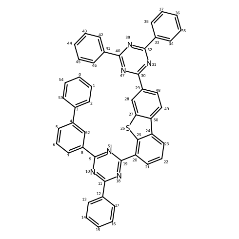 c1ccc(-c2cccc(-c3nc(-c4ccccc4)nc(-c4cccc5c4sc4cc(-c6nc(-c7ccccc7)nc(-c7ccccc7)n6)ccc45)n3)c2)cc1